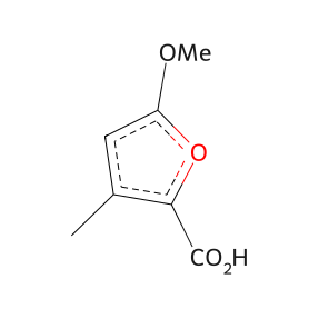 COc1cc(C)c(C(=O)O)o1